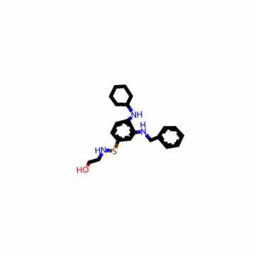 OCCNSc1ccc(NC2CCCCC2)c(NCc2ccccc2)c1